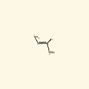 CNC(C)=CN